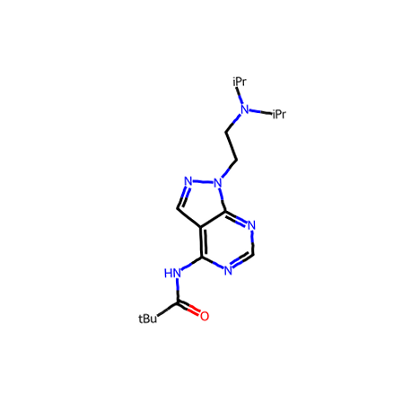 CC(C)N(CCn1ncc2c(NC(=O)C(C)(C)C)ncnc21)C(C)C